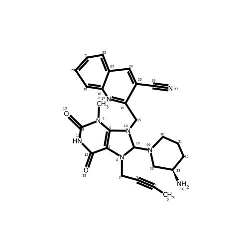 CC#CCN1c2c(n(C)c(=O)[nH]c2=O)N(Cc2nc3ccccc3cc2C#N)C1N1CCC[C@@H](N)C1